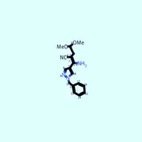 COC(C/C(C#N)=C(\N)c1cnn(Cc2ccccc2)c1)OC